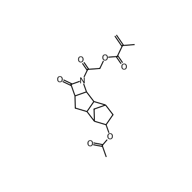 C=C(C)C(=O)OCC(=O)N1C(=O)C2CC3C4CC(CC4OC(C)=O)C3C21